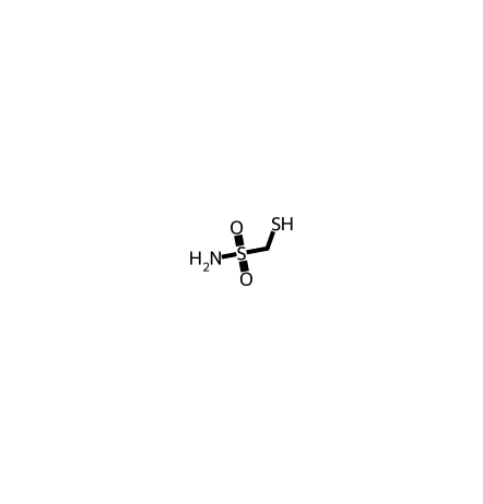 NS(=O)(=O)CS